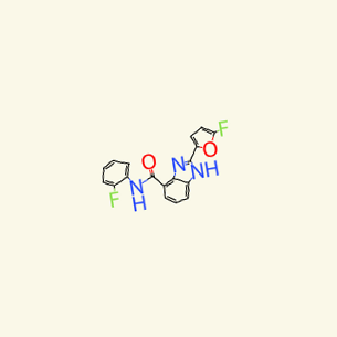 O=C(Nc1ccccc1F)c1cccc2[nH]c(-c3ccc(F)o3)nc12